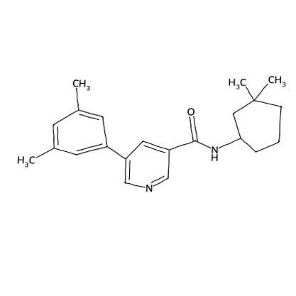 Cc1cc(C)cc(-c2cncc(C(=O)NC3CCCC(C)(C)C3)c2)c1